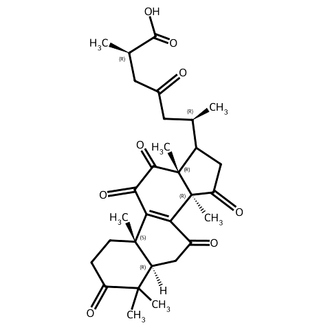 C[C@H](CC(=O)C[C@@H](C)C1CC(=O)[C@@]2(C)C3=C(C(=O)C(=O)[C@]12C)[C@@]1(C)CCC(=O)C(C)(C)[C@@H]1CC3=O)C(=O)O